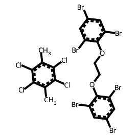 Brc1cc(Br)c(OCCOc2c(Br)cc(Br)cc2Br)c(Br)c1.Cc1c(Cl)c(Cl)c(C)c(Cl)c1Cl